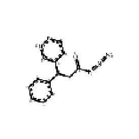 [N-]=[N+]=NC(=O)CC(c1ccccc1)c1ccnnc1